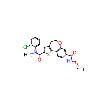 CONC(=O)c1ccc2c(c1)OCCc1cc(C(=O)N(C)c3ccccc3Cl)sc1-2